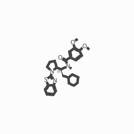 COc1ccc(C(=O)N(C)[C@@H](CC2CCCCC2)C2CCCN2c2nc3ccccc3s2)cc1OC